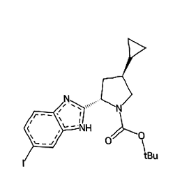 CC(C)(C)OC(=O)N1C[C@H](C2CC2)C[C@H]1c1nc2ccc(I)cc2[nH]1